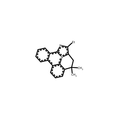 CCc1nc2c3ccccc3c3cccc4c3n2c1CC4(C)C